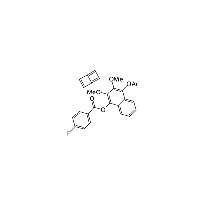 COc1c(OC)c(OC(=O)c2ccc(F)cc2)c2ccccc2c1OC(C)=O.c1cc2ccc1-2